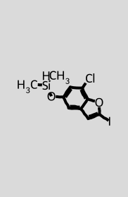 C[SiH](C)Oc1cc(Cl)c2oc(I)cc2c1